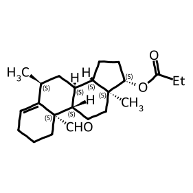 CCC(=O)O[C@H]1CC[C@H]2[C@@H]3C[C@H](C)C4=CCCC[C@]4(C=O)[C@H]3CC[C@]12C